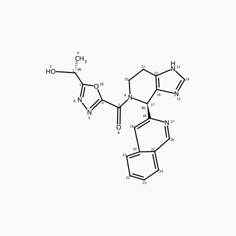 C[C@@H](O)c1nnc(C(=O)N2CCc3[nH]cnc3[C@H]2c2cc3ccccc3cn2)o1